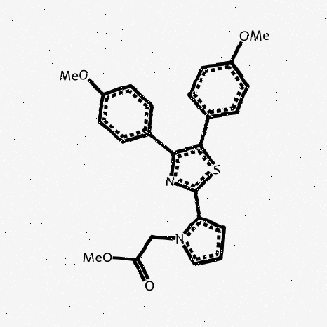 COC(=O)Cn1cccc1-c1nc(-c2ccc(OC)cc2)c(-c2ccc(OC)cc2)s1